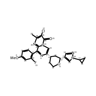 COc1ccc(-c2nc([C@H]3CCO[C@@H](c4cnn(C5CC5)c4)C3)cn3c(=O)c(Cl)c(C)nc23)c(F)c1